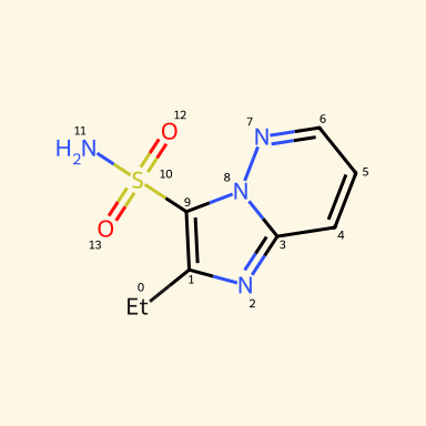 CCc1nc2cccnn2c1S(N)(=O)=O